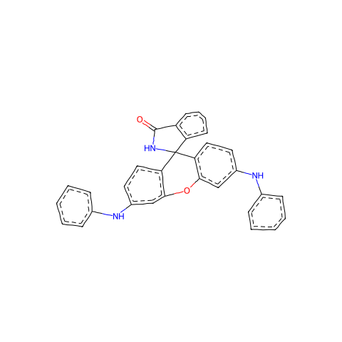 O=C1NC2(c3ccc(Nc4ccccc4)cc3Oc3cc(Nc4ccccc4)ccc32)c2ccccc21